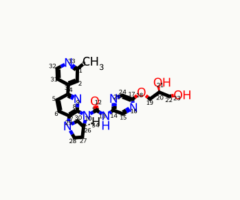 Cc1cc(-c2ccc3c(n2)N(C(=O)Nc2cnc(OC[C@@H](O)CO)cn2)[C@H]2CCN3C2)ccn1